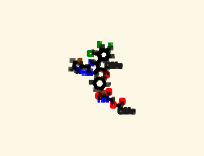 COC(=O)OCNS(=O)(=O)[C@H]1CC[C@H](C2=C(C(=O)OC)C(c3ccc(F)c(F)c3Cl)N=C(c3nccs3)N2)CC1